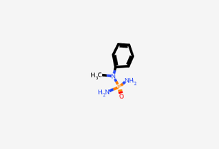 CN(c1ccccc1)P(N)(N)=O